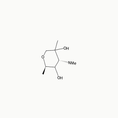 CN[C@@H]1C(O)[C@@H](C)OCC1(C)O